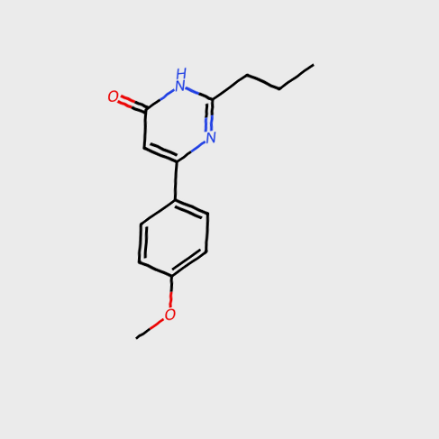 CCCc1nc(-c2ccc(OC)cc2)cc(=O)[nH]1